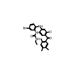 CCNC(=O)Nc1cc(Br)ccc1Nc1ccc(C(=O)c2cc(C)c(C)cc2C)c(Cl)c1